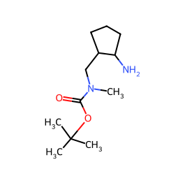 CN(CC1CCCC1N)C(=O)OC(C)(C)C